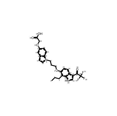 CCCc1c(OCCCn2ccc3cc(OCC(=O)O)ccc32)ccc2c(C(=O)C(F)(F)F)c[nH]c12